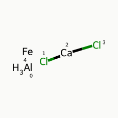 [AlH3].[Cl][Ca][Cl].[Fe]